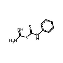 N=C(N)SC(=S)Nc1ccccc1